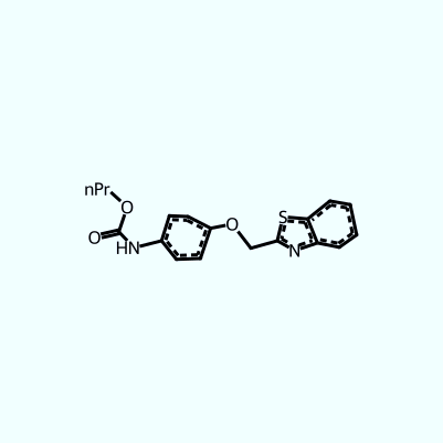 CCCOC(=O)Nc1ccc(OCc2nc3ccccc3s2)cc1